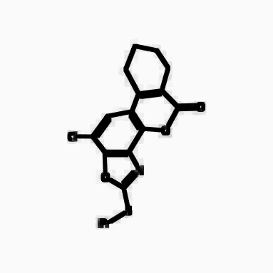 CC(C)Sc1nc2c(o1)c(Cl)cc1c3c(c(=O)oc12)CCCC3